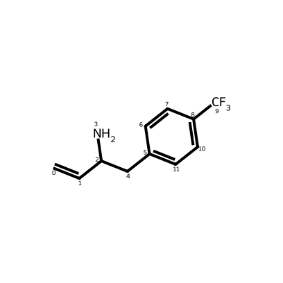 C=CC(N)Cc1ccc(C(F)(F)F)cc1